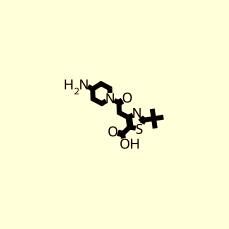 CC(C)(C)c1nc(CC(=O)N2CCC(N)CC2)c(C(=O)O)s1